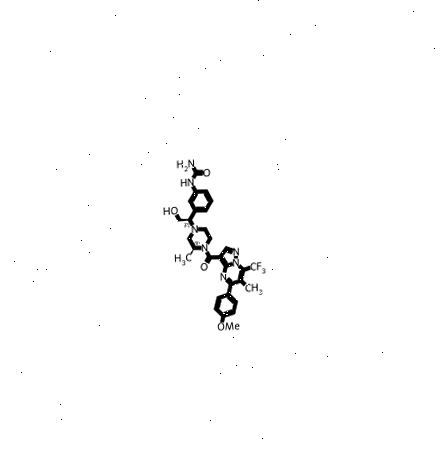 COc1ccc(-c2nc3c(C(=O)N4CCN([C@@H](CO)c5cccc(NC(N)=O)c5)C[C@H]4C)cnn3c(C(F)(F)F)c2C)cc1